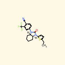 CCc1ccc(N2C(=O)N(c3ccc(C#N)c(C(F)(F)F)c3)[C@H]3CCCC[C@@H]32)s1